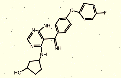 N=C(c1ccc(Oc2ccc(F)cc2)cc1)c1c(N)ncnc1NC1CCC(O)C1